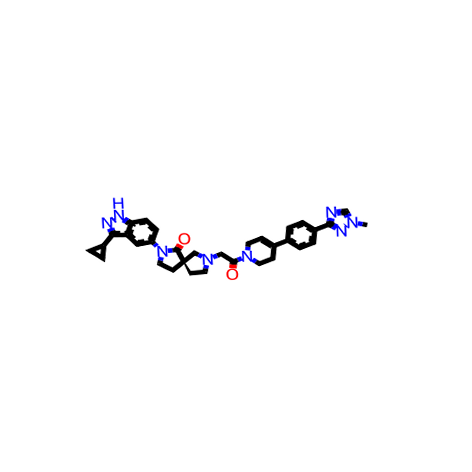 Cn1cnc(-c2ccc(C3=CCN(C(=O)CN4CC[C@]5(CCN(c6ccc7[nH]nc(C8CC8)c7c6)C5=O)C4)CC3)cc2)n1